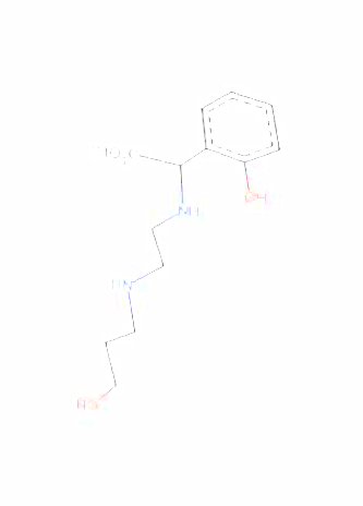 O=C(O)C(NCCNCCCO)c1ccccc1O